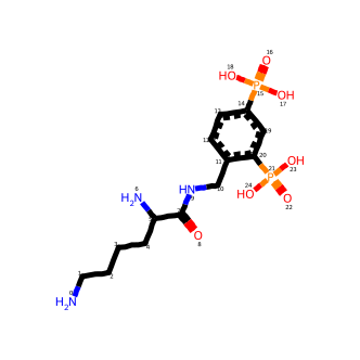 NCCCCC(N)C(=O)NCc1ccc(P(=O)(O)O)cc1P(=O)(O)O